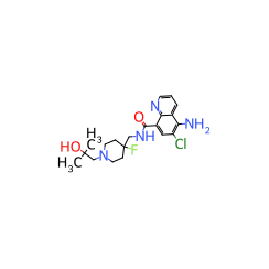 CC(C)(O)CN1CCC(F)(CNC(=O)c2cc(Cl)c(N)c3cccnc23)CC1